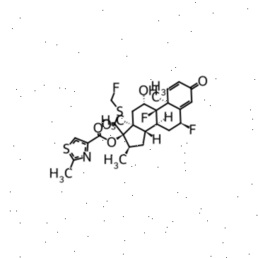 Cc1nc(C(=O)O[C@]2(C(=O)SCF)[C@H](C)C[C@H]3[C@@H]4C[C@H](F)C5=CC(=O)C=C[C@]5(C)[C@@]4(F)[C@@H](O)C[C@@]32C)cs1